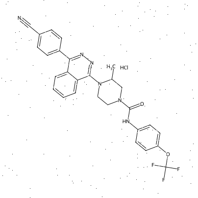 CC1CN(C(=O)Nc2ccc(OC(F)(F)F)cc2)CCN1c1nnc(-c2ccc(C#N)cc2)c2ccccc12.Cl